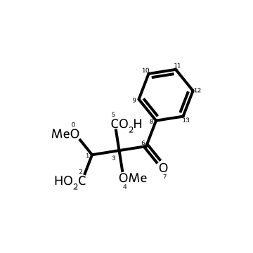 COC(C(=O)O)C(OC)(C(=O)O)C(=O)c1ccccc1